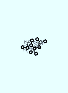 Cc1cccc(C)c1-c1ccc2c(c1)c1cc(-c3c(C)cccc3C)cc3c1n2B1c2ccccc2N(c2ccccc2)c2cc(-c4cccc(-c5nc(-c6ccccc6)nc(-c6ccccc6)n5)c4)c(C)c-3c21